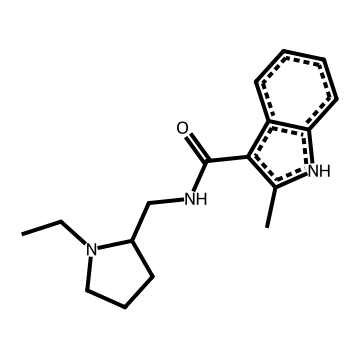 CCN1CCCC1CNC(=O)c1c(C)[nH]c2ccccc12